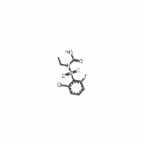 CCN(C(=O)O)S(=O)(=O)c1c(Cl)cccc1Cl